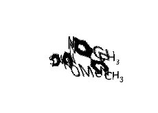 COc1nc(N2CCSCC2)cc(-n2ncc3cc(C)c([C@@H]4CCN(C)C[C@@H]4F)cc32)n1